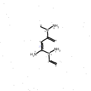 C=CN(N)/C(N)=C\C(=C)N(C)N